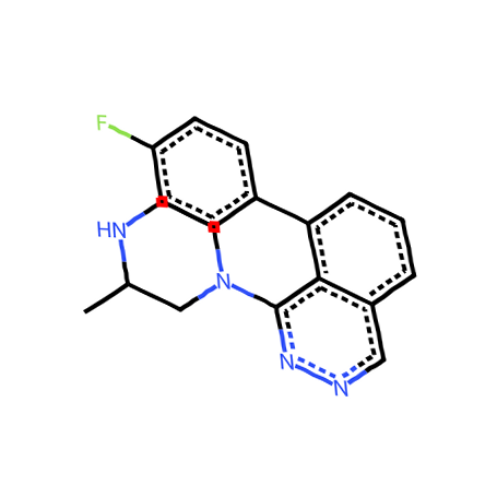 CC1CN(c2nncc3cccc(-c4ccc(F)cc4)c23)CCN1